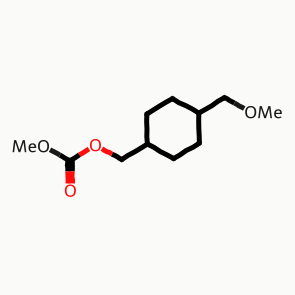 COCC1CCC(COC(=O)OC)CC1